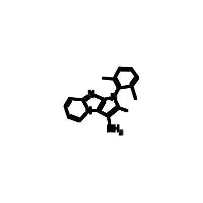 Cc1cccc(C)c1-n1c(C)c(N)c2c1nc1ccccn12